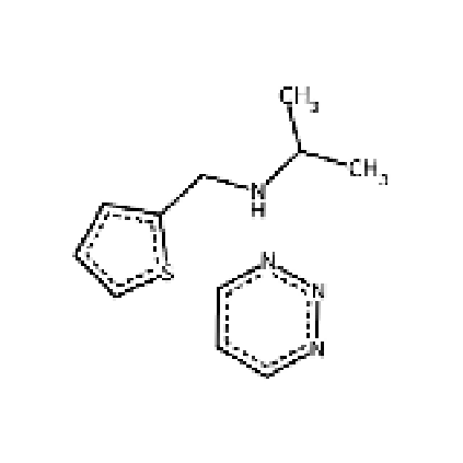 CC(C)NCc1cccs1.c1cnnnc1